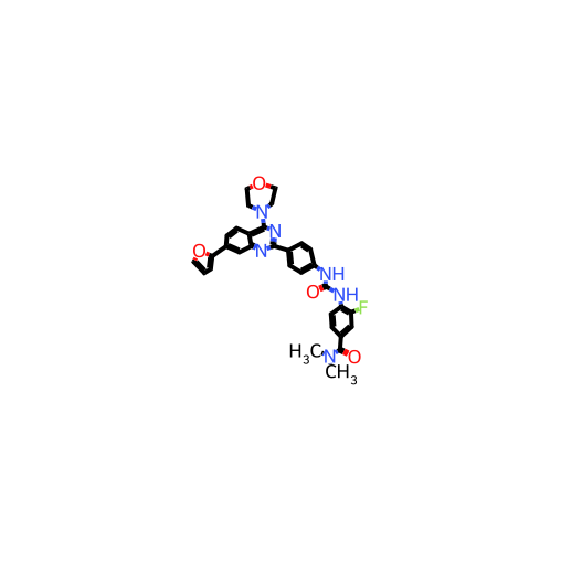 CN(C)C(=O)c1ccc(NC(=O)Nc2ccc(-c3nc(N4CCOCC4)c4ccc(-c5ccco5)cc4n3)cc2)c(F)c1